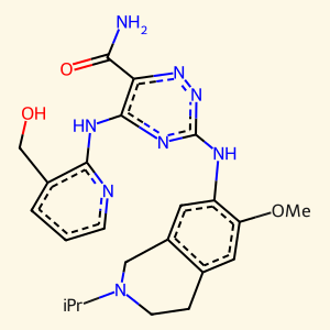 COc1cc2c(cc1Nc1nnc(C(N)=O)c(Nc3ncccc3CO)n1)CN(C(C)C)CC2